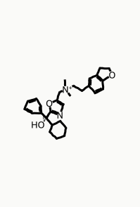 C[N+](C)(CCc1ccc2c(c1)CCO2)Cc1cnc([C@](O)(c2ccccc2)C2CCCCC2)o1